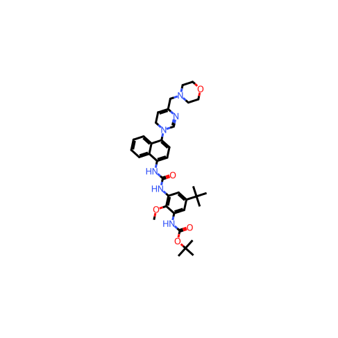 COc1c(NC(=O)Nc2ccc(N3C=NC(CN4CCOCC4)=CC3)c3ccccc23)cc(C(C)(C)C)cc1NC(=O)OC(C)(C)C